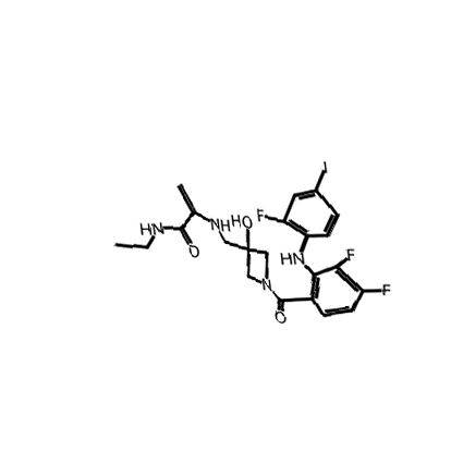 C=C(NCC1(O)CN(C(=O)c2ccc(F)c(F)c2Nc2ccc(I)cc2F)C1)C(=O)NCC